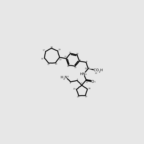 NCCC1(C(=O)N[C@@H](Cc2ccc(C3CCCCCC3)cc2)C(=O)O)CCCC1